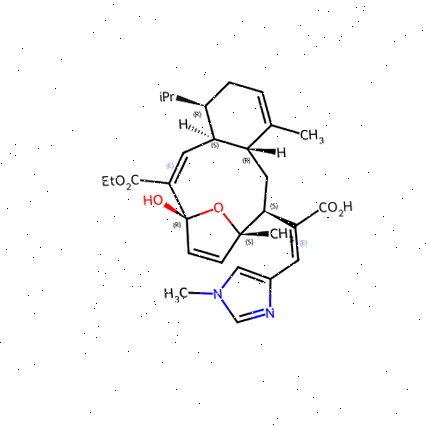 CCOC(=O)/C1=C/[C@H]2[C@@H](C(C)C)CC=C(C)[C@@H]2C[C@@H](/C(=C\c2cn(C)cn2)C(=O)O)[C@]2(C)C=C[C@@]1(O)O2